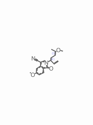 C=C/C(=C\C=C(/C)OC)n1cc(C#N)c2cc(OC)ccc2c1=O